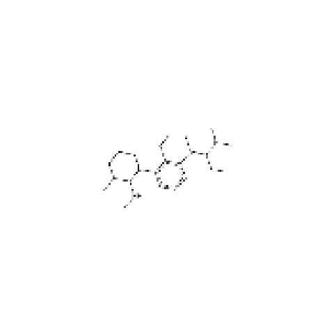 CCc1c(N(C)C(CC)N(C)C)cccc1N1CCCC(C)C1NC